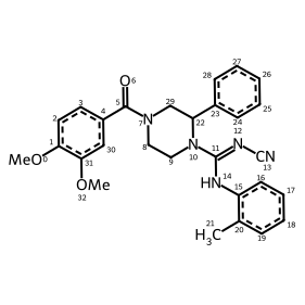 COc1ccc(C(=O)N2CCN(/C(=N/C#N)Nc3ccccc3C)C(c3ccccc3)C2)cc1OC